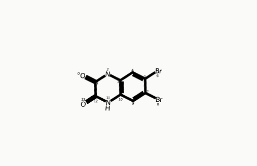 O=C1[N]c2cc(Br)c(Br)cc2NC1=O